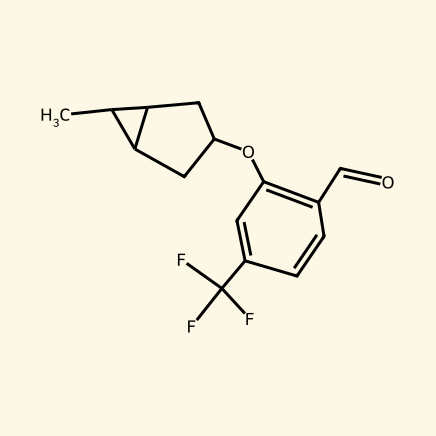 CC1C2CC(Oc3cc(C(F)(F)F)ccc3C=O)CC12